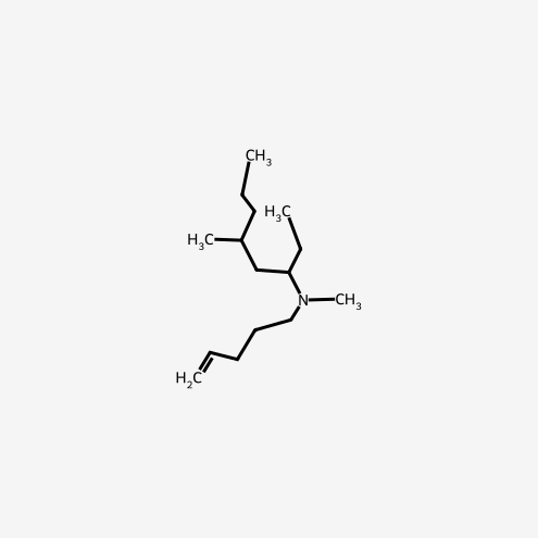 C=CCCCN(C)C(CC)CC(C)CCC